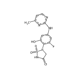 Cc1ccnc(Nc2cc(O)c(N3CC(=O)NS3(=O)=O)c(F)c2)n1